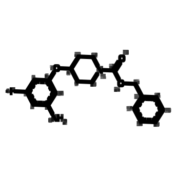 Nc1cc(F)cc(OC2CCN(C(=O)OCc3ccccc3)CC2)c1